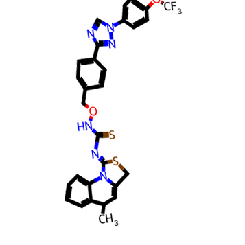 CC1C=C2CS/C(=N\C(=S)NOCc3ccc(-c4ncn(-c5ccc(OC(F)(F)F)cc5)n4)cc3)N2c2ccccc21